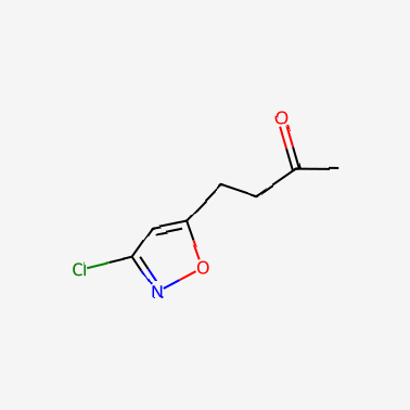 CC(=O)CCc1cc(Cl)no1